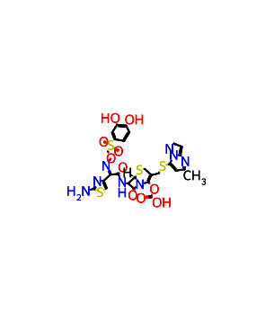 Cc1cc(SCC2=C(OC(=O)O)N3C(=O)[C@@H](NC(=O)/C(=N\OCS(=O)(=O)c4ccc(O)c(O)c4)c4csc(N)n4)[C@H]3SC2)n2nccc2n1